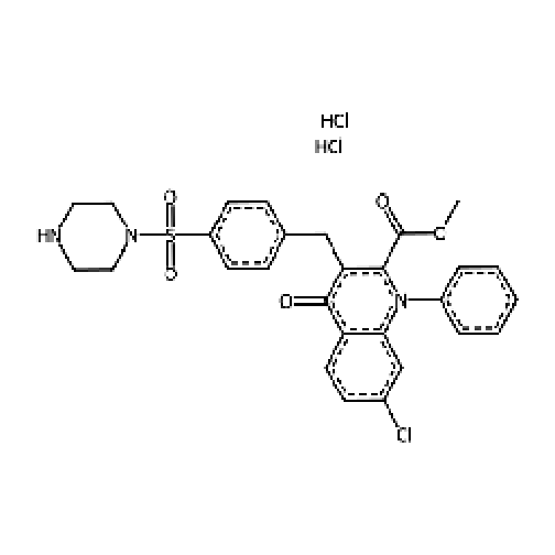 COC(=O)c1c(Cc2ccc(S(=O)(=O)N3CCNCC3)cc2)c(=O)c2ccc(Cl)cc2n1-c1ccccc1.Cl.Cl